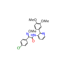 CO/N=C(\C(=O)Nc1cccnc1-c1ccc(OC)c(OC)c1)c1ccc(Cl)cc1